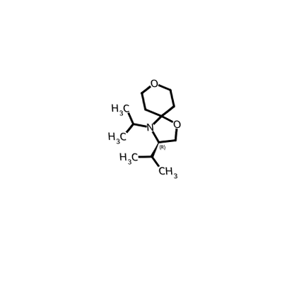 CC(C)[C@@H]1COC2(CCOCC2)N1C(C)C